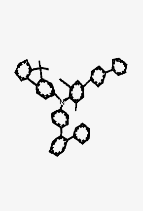 Cc1cc(-c2ccc(-c3ccccc3)cc2)cc(C)c1N(c1ccc(-c2ccccc2-c2ccccc2)cc1)c1ccc2c(c1)C(C)(C)c1ccccc1-2